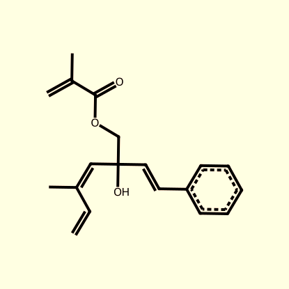 C=CC(C)=CC(O)(C=Cc1ccccc1)COC(=O)C(=C)C